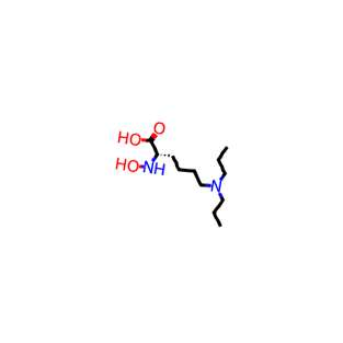 CCCN(CCC)CCCC[C@H](NO)C(=O)O